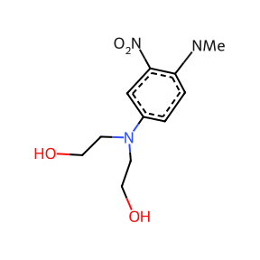 CNc1ccc(N(CCO)CCO)cc1[N+](=O)[O-]